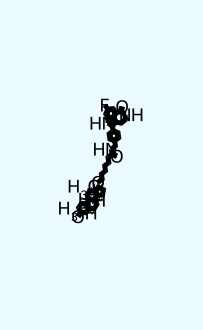 C[C@]12CCC(=O)C[C@@H]1CC[C@@H]1[C@@H]2CC[C@]2(C)[C@@H](OCCCCCCC(=O)NCc3ccc(-c4[nH]c5cc(F)cc6c5c4CCNC6=O)cc3)CC[C@@H]12